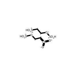 O=S(=O)(O)CCOS(=O)(=O)O.O=S(=O)=CCOS(=O)(=O)O